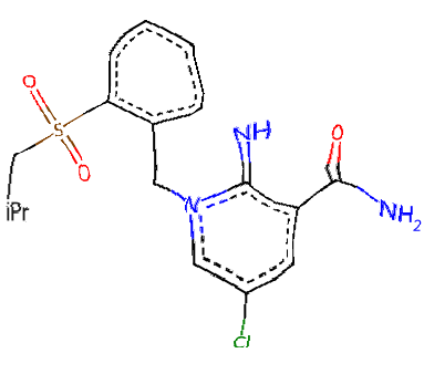 CC(C)CS(=O)(=O)c1ccccc1Cn1cc(Cl)cc(C(N)=O)c1=N